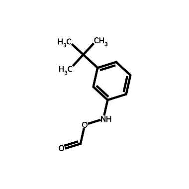 CC(C)(C)c1cccc(NOC=O)c1